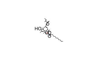 C=C(OCC1=CC2C(=O)C3(C=C(C)C(O)C3(C)C1)[C@H](C)C[C@@](C)(OC(=O)CCCCCCCCC)C2(C)C)/C(C)=C/C